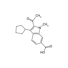 CC(=O)c1c(C2CCCC2)c2ccc(C(=O)O)cc2n1C